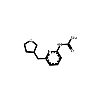 CC(C)(C)C(=O)Nc1cccc(CC2CCOC2)n1